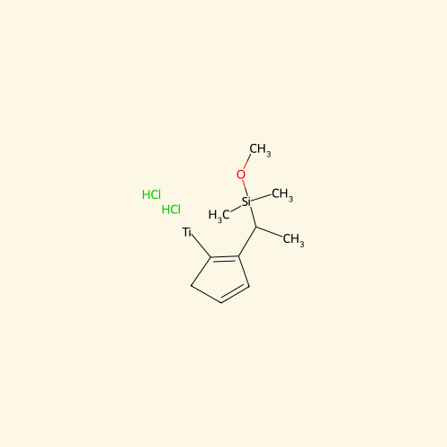 CO[Si](C)(C)C(C)C1=[C]([Ti])CC=C1.Cl.Cl